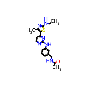 CCNc1nc(C)c(-c2ccnc(Nc3cccc(CNC(C)=O)c3)n2)s1